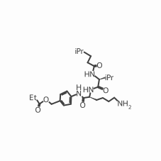 CCC(=O)OCc1ccc(NC(=O)[C@H](CCCCN)NC(=O)[C@@H](NC(=O)CCC(C)C)C(C)C)cc1